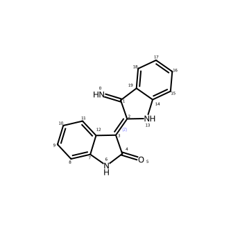 N=C1/C(=C2/C(=O)Nc3ccccc32)Nc2ccccc21